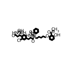 COC(=O)c1c(O)cccc1OCCCCCNC(=O)C(Cc1ccc(C2CC(=O)NS2(O)O)c(Cl)c1)NS(=O)(=O)c1ccccc1